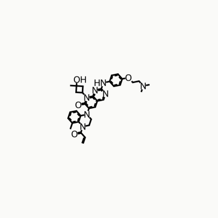 C=CC(=O)N1CCN(c2cc3cnc(Nc4ccc(OCCN(C)C)cc4)nc3n(C3CC(C)(O)C3)c2=O)c2cccc(C)c21